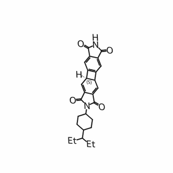 CCC(CC)C1CCC(N2C(=O)C3=CC4c5cc6c(cc5[C@@H]4C=C3C2=O)C(=O)NC6=O)CC1